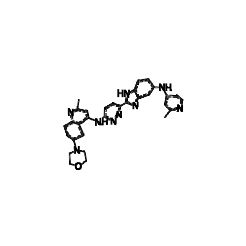 Cc1cc(Nc2ccc3[nH]c(-c4ccc(Nc5cc(C)nc6ccc(N7CCOCC7)cc56)nn4)nc3c2)ccn1